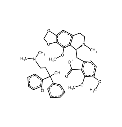 CN(C)CCC(O)(c1ccccc1)c1ccccc1Cl.COc1ccc2c(c1OC)C(=O)O[C@@H]2[C@H]1c2c(cc3c(c2OC)OCO3)CCN1C